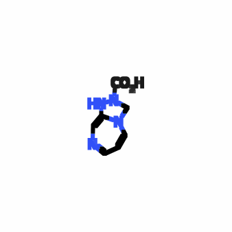 O=C(O)N1CN2C=CC=NC=C2N1